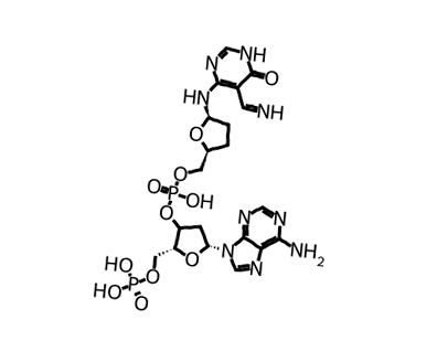 N=Cc1c(N[C@H]2CC[C@@H](COP(=O)(O)OC3C[C@H](n4cnc5c(N)ncnc54)O[C@@H]3COP(=O)(O)O)O2)nc[nH]c1=O